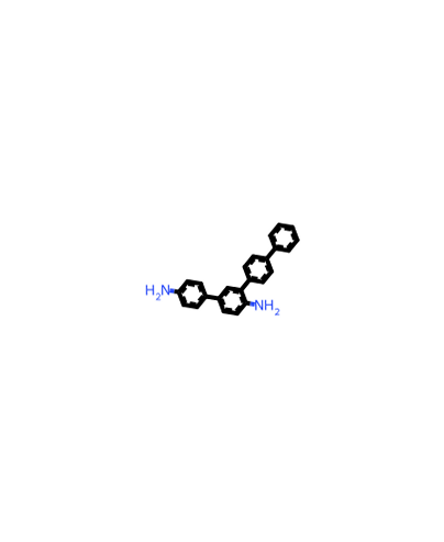 Nc1ccc(-c2ccc(N)c(-c3ccc(-c4ccccc4)cc3)c2)cc1